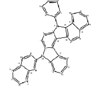 c1ccc(-n2c3ccc4c(c5ccccc5n4-c4ccc5nccnc5c4)c3c3ccc4ccccc4c32)cc1